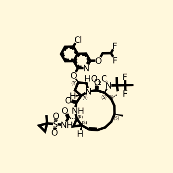 C[C@H]1CCC=C[C@@H]2C[C@@]2(C(=O)NS(=O)(=O)C2(C)CC2)NC(=O)[C@@H]2C[C@@H](Oc3nc(OCC(F)F)cc4c(Cl)cccc34)CN2C(=O)[C@@H](N(C(=O)O)C(C)(C)C(C)(F)F)[C@H](C)C1